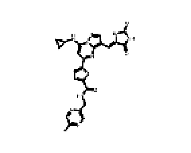 Cc1cnc(CNC(=O)c2ccc(-c3cc(NC4CC4)n4ncc(/C=C5\NC(O)NC5=O)c4n3)s2)cn1